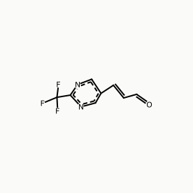 O=CC=Cc1cnc(C(F)(F)F)nc1